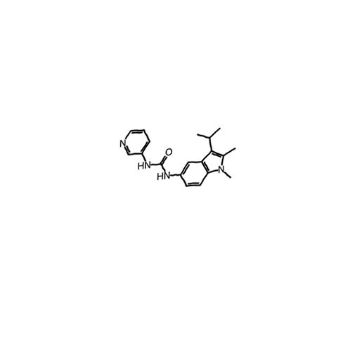 Cc1c(C(C)C)c2cc(NC(=O)Nc3cccnc3)ccc2n1C